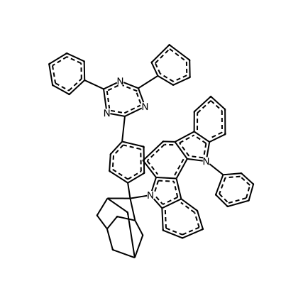 c1ccc(-c2nc(-c3ccccc3)nc(-c3ccc(C4(n5c6ccccc6c6c7c(ccc65)c5ccccc5n7-c5ccccc5)C5CC6CC(C5)CC4C6)cc3)n2)cc1